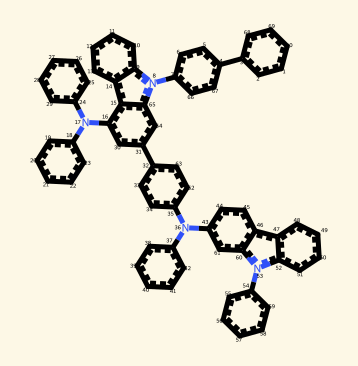 c1ccc(-c2ccc(-n3c4ccccc4c4c(N(c5ccccc5)c5ccccc5)cc(-c5ccc(N(c6ccccc6)c6ccc7c8ccccc8n(-c8ccccc8)c7c6)cc5)cc43)cc2)cc1